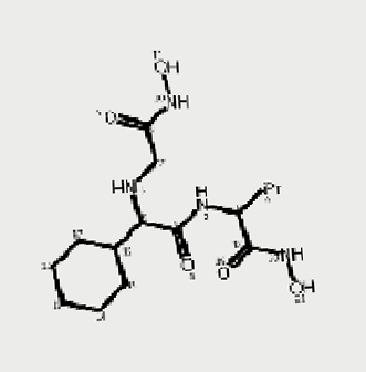 CC(C)C(NC(=O)C(NCC(=O)NO)C1CCCCC1)C(=O)NO